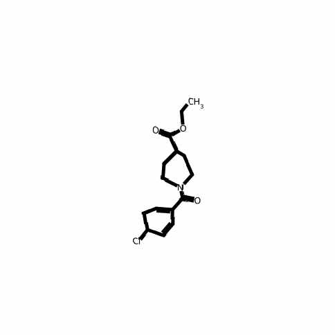 CCOC(=O)C1CCN(C(=O)C2=CCC(Cl)C=C2)CC1